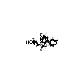 CC(C)(O)CCn1c(I)nc2c(N3CCOCC3)nc(Cl)nc21